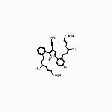 CCCCC#CC1=C(c2ccccc2CCC(CC=CCCCCCCC)CCCC)[N+](=[N-])C(c2ccccc2CCC(CC=CCCCCCCC)CCCC)=C1.[Ni]